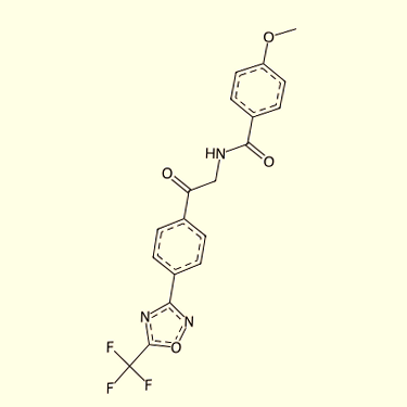 COc1ccc(C(=O)NCC(=O)c2ccc(-c3noc(C(F)(F)F)n3)cc2)cc1